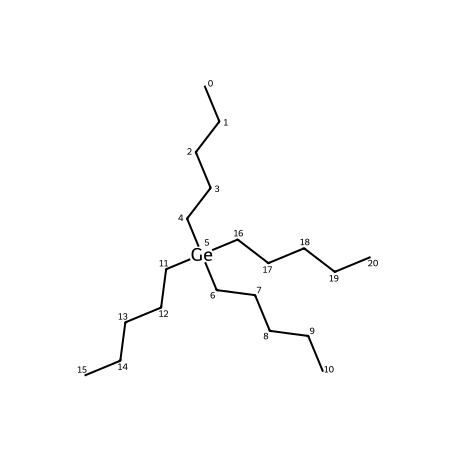 CCCC[CH2][Ge]([CH2]CCCC)([CH2]CCCC)[CH2]CCCC